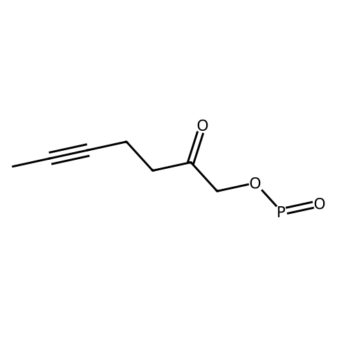 CC#CCCC(=O)COP=O